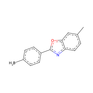 Bc1ccc(-c2nc3ccc(C)cc3o2)cc1